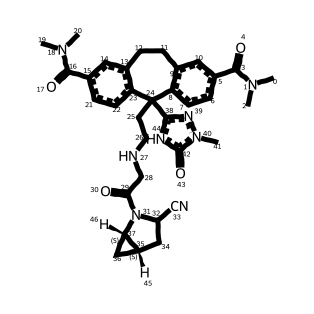 CN(C)C(=O)c1ccc2c(c1)CCc1cc(C(=O)N(C)C)ccc1C2(CCNCC(=O)N1C(C#N)C[C@@H]2C[C@@H]21)c1nn(C)c(=O)[nH]1